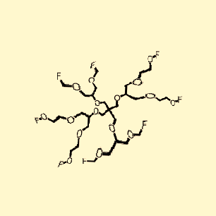 FCOCC(COCF)OCC(COC(COCF)COCF)(COC(COCCOF)COCCOF)COC(COCCOF)COCCOF